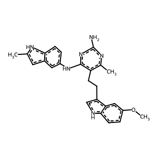 COc1ccc2[nH]cc(CCc3c(C)nc(N)nc3Nc3ccc4[nH]c(C)cc4c3)c2c1